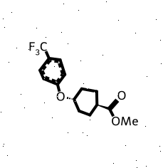 COC(=O)[C@H]1CC[C@H](Oc2ccc(C(F)(F)F)cc2)CC1